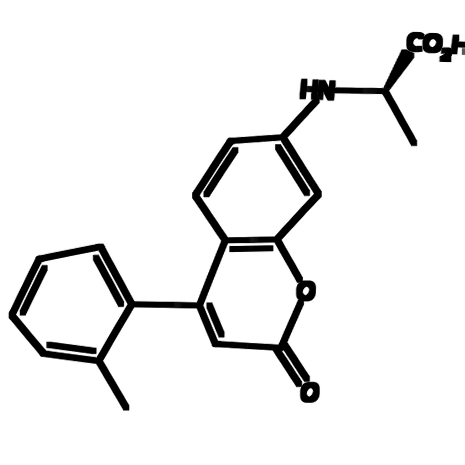 Cc1ccccc1-c1cc(=O)oc2cc(N[C@H](C)C(=O)O)ccc12